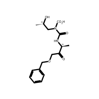 C[C@H](O)CN(C(=O)O)C(=O)N[C@@H](C)C(=O)COCc1ccccc1